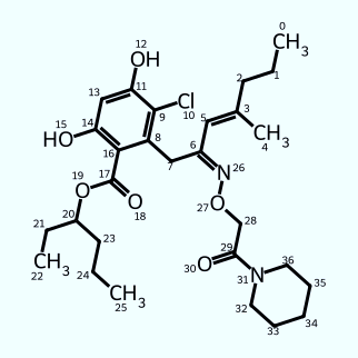 CCC/C(C)=C/C(Cc1c(Cl)c(O)cc(O)c1C(=O)OC(CC)CCC)=N/OCC(=O)N1CCCCC1